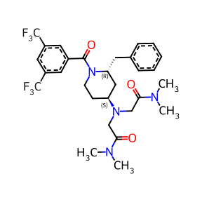 CN(C)C(=O)CN(CC(=O)N(C)C)[C@H]1CCN(C(=O)c2cc(C(F)(F)F)cc(C(F)(F)F)c2)[C@H](Cc2ccccc2)C1